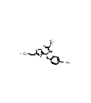 CCOC(=O)Cc1nc([C@H](Cc2ccc(OC)cc2)NC(=O)OC(C)(C)C)no1